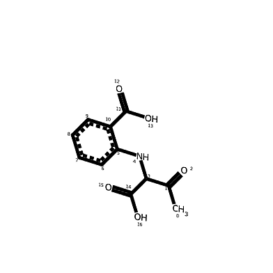 CC(=O)C(Nc1ccccc1C(=O)O)C(=O)O